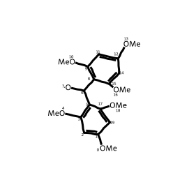 COc1cc(OC)c(C([O])c2c(OC)cc(OC)cc2OC)c(OC)c1